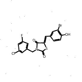 O=C1S/C(=C\c2ccc(O)c(Br)c2)C(=O)N1Cc1cc(F)cc(Cl)c1